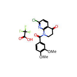 COc1ccc(C(=O)N2CCC(=O)c3ccc(Cl)nc32)cc1OC.O=C(O)C(F)(F)F